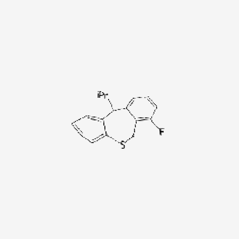 CC(C)C1c2ccccc2SCc2c(F)cccc21